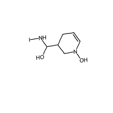 OC(NI)C1CC=CN(O)C1